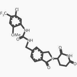 COc1cc(C(F)(F)F)c(Cl)cc1NC(=O)NCc1ccc2c(c1)CN(C1CCC(=O)NC1=O)C2=O